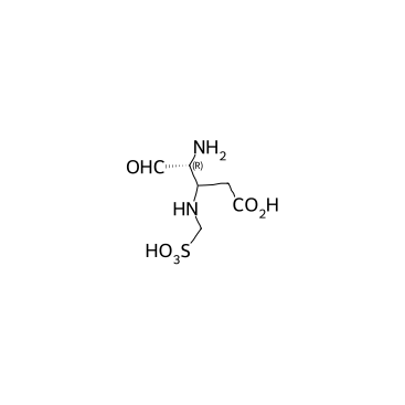 N[C@@H](C=O)C(CC(=O)O)NCS(=O)(=O)O